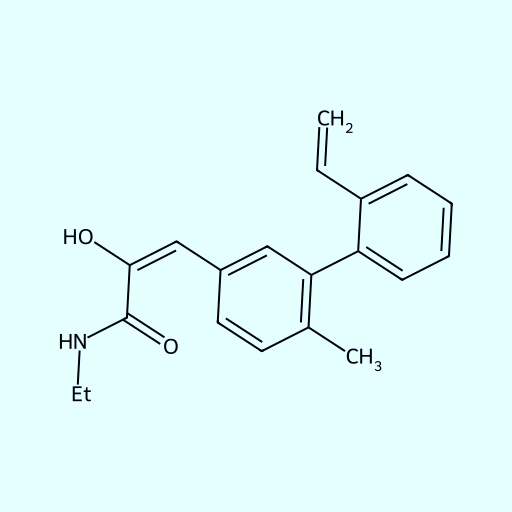 C=Cc1ccccc1-c1cc(/C=C(/O)C(=O)NCC)ccc1C